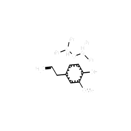 C=CCc1ccc(O)c(OC)c1.CC(C)[SiH](O[SiH](C(C)C)C(C)C)C(C)C